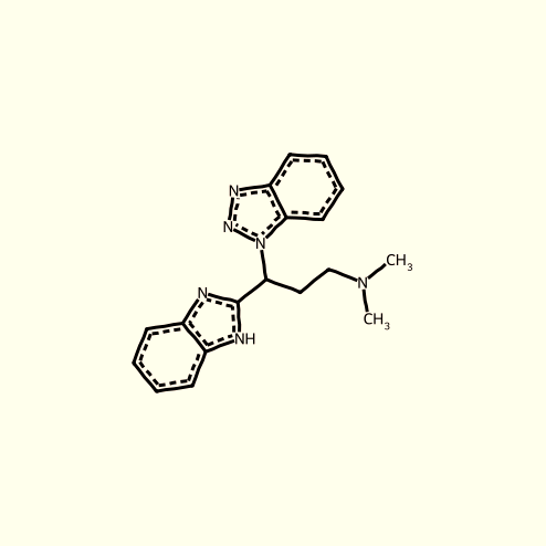 CN(C)CCC(c1nc2ccccc2[nH]1)n1nnc2ccccc21